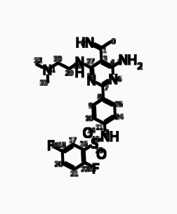 CC(=N)c1c(N)nc(-c2ccc(NS(=O)(=O)c3cc(F)ccc3F)cc2)nc1NCCN(C)C